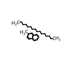 CCCCCCCCCCCCCCCC.Cc1ccc2ccccc2c1